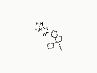 N#Cc1ccc2ccc(C(=O)N=C(N)N)cc2c1-c1ccccc1